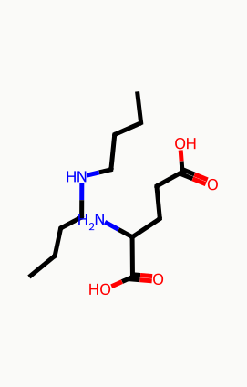 CCCCNCCCC.NC(CCC(=O)O)C(=O)O